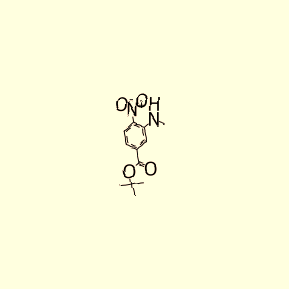 CNc1cc(C(=O)OC(C)(C)C)ccc1[N+](=O)[O-]